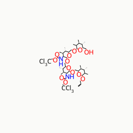 C=CCO[C@@H]1OC(CO[C@@H]2OC(CO[C@@H]3OC(CO[C@@H]4OC(CO)[C@@H](C)[C@H](C)C4C)[C@@H](C)[C@H](C)C3NC(=O)OCC(Cl)(Cl)Cl)[C@@H](C)[C@H](C)C2NC(=O)OCC(Cl)(Cl)Cl)[C@@H](C)[C@H](C)C1C